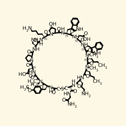 CCCC[C@H]1C(=O)N(C)[C@@H](CCCC)C(=O)N[C@@H](CCCN)C(=O)N[C@H](C(=O)NCC(N)=O)CSCC(=O)N[C@@H](Cc2ccc(OC)cc2)C(=O)N(C)[C@@H](C)C(=O)N[C@@H](CC(=O)O)C(=O)N2CCCC2C(=O)N[C@@H](CN)C(=O)N[C@@H](CCCCN)C(=O)N2C[C@H](O)CC2C(=O)N[C@@H](Cc2c[nH]c3ccccc23)C(=O)N[C@@H](CC(=O)O)C(=O)N[C@@H](Cc2c[nH]c3ccccc23)C(=O)N1C